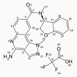 CN(C(=O)c1ccc2nc(N)c3cnn(C)c3c2c1)[C@@H]1COc2ccccc21.O=C(O)C(F)(F)F